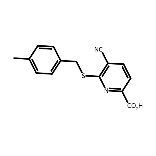 Cc1ccc(CSc2nc(C(=O)O)ccc2C#N)cc1